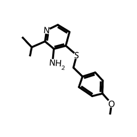 COc1ccc(CSc2ccnc(C(C)C)c2N)cc1